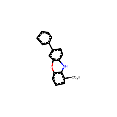 O=C(O)c1cccc2c1Nc1ccc(-c3ccccc3)cc1O2